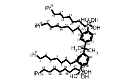 CC(C)CCCCCCCc1cc(C(C)(C)c2ccc(P(O)(O)(O)CCCCCCCC(C)C)c(CCCCCCCC(C)C)c2)ccc1P(O)(O)(O)CCCCCCCC(C)C